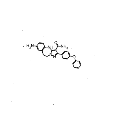 NC(=O)c1c(-c2ccc(Oc3ccccc3)cc2)nn2c1Nc1ccc(N)cc1CC2